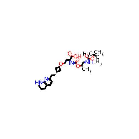 C[C@@H](CNC(=O)OC(C)(C)C)OC(=O)NC(CCO[C@H]1C[C@H](CCc2ccc3c(n2)NCCC3)C1)C(=O)O